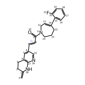 C=C1CCc2cc(/C=C/C(=O)N3CC=C(c4ccccc4F)CCC3)cnc2N1